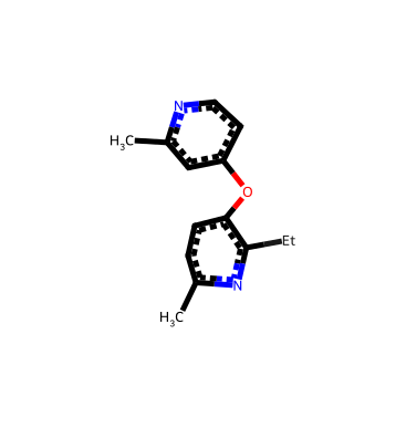 CCc1nc(C)ccc1Oc1ccnc(C)c1